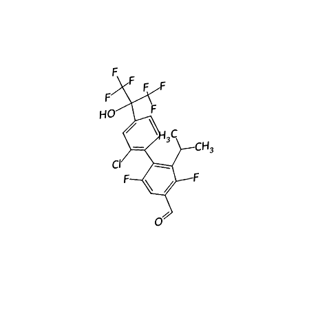 CC(C)c1c(F)c(C=O)cc(F)c1-c1ccc(C(O)(C(F)(F)F)C(F)(F)F)cc1Cl